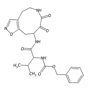 CC(C)C(NC(=O)OCc1ccccc1)C(=O)NC1Cc2oncc2CCNC(=O)C1=O